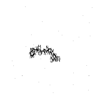 C[C@H]1CN(c2ncc(F)c(N3CC(C(=O)NC(C)(C)c4cnc5ccccn45)C3)n2)C[C@H](C)N1